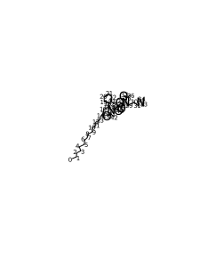 CCCCCCCCCCCCCCCCCC(c1ccccc1COC(=O)N(CCCN(C)C)C(C)=O)N(C=O)C(C)=O